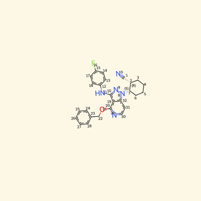 N#C[C@@H]1CCCC[C@@H]1n1nc(Nc2ccc(F)cc2)c2c(OCc3ccccc3)nccc21